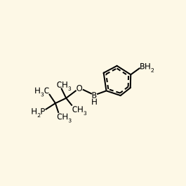 Bc1ccc(BOC(C)(C)C(C)(C)P)cc1